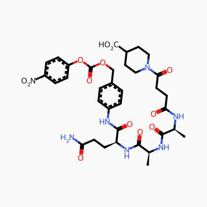 C[C@H](NC(=O)CCC(=O)N1CCC(C(=O)O)CC1)C(=O)N[C@@H](C)C(=O)N[C@@H](CCC(N)=O)C(=O)Nc1ccc(COC(=O)Oc2ccc([N+](=O)[O-])cc2)cc1